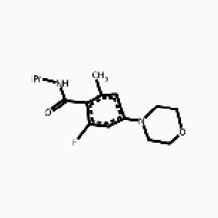 Cc1cc(N2CCOCC2)cc(F)c1C(=O)NC(C)C